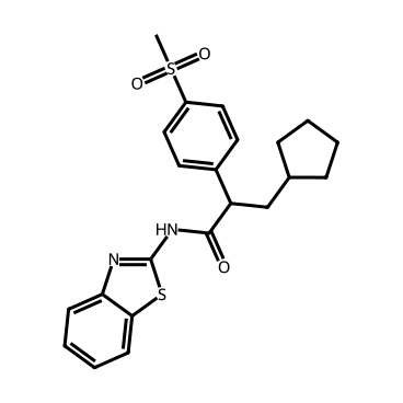 CS(=O)(=O)c1ccc(C(CC2CCCC2)C(=O)Nc2nc3ccccc3s2)cc1